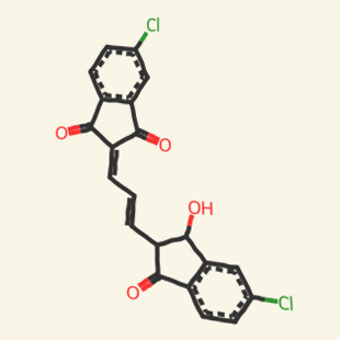 O=C1/C(=C/C=C/C2C(=O)c3ccc(Cl)cc3C2O)C(=O)c2cc(Cl)ccc21